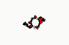 COC1(c2ccn(Cc3ccc(C[C@H]4OC(=O)[C@H](CC(C)C)N(C)C(=O)[C@@H](C)OC(=O)[C@H](CC(C)C)N(C)C(=O)[C@@H](Cc5ccc(Cn6nccc6C6(OC)CCC6)cc5)OC(=O)[C@H](CC(C)C)N(C)C(=O)[C@@H](C)OC(=O)[C@H](CC(C)C)N(C)C4=O)cc3)n2)CCC1